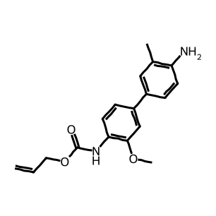 C=CCOC(=O)Nc1ccc(-c2ccc(N)c(C)c2)cc1OC